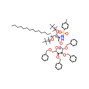 CCCCCCCCCCCCCC[C@@H](O[Si](C)(C)C(C)(C)C)[C@@H](O[Si](C)(C)C(C)(C)C)[C@H](CO[C@H]1OC(COCc2ccccc2)[C@H](OCc2ccccc2)[C@@H](OCc2ccccc2)C1OCc1ccccc1)NS(=O)(=O)c1ccc(C)cc1